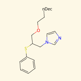 CCCCCCCCCCCCOCC(Cn1ccnc1)Sc1ccccc1